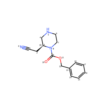 N#CC[C@H]1CNCCN1C(=O)OCc1ccccc1